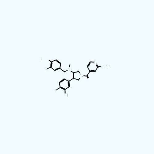 COc1cc(C(=O)N2CC(c3ccc(Cl)c(Cl)c3)C(N(C)Cc3ccc(C(F)(F)F)c(F)c3)C2)ccn1